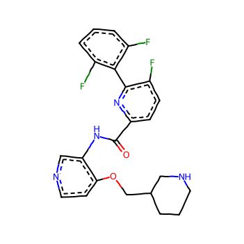 O=C(Nc1cnccc1OCC1CCCNC1)c1ccc(F)c(-c2c(F)cccc2F)n1